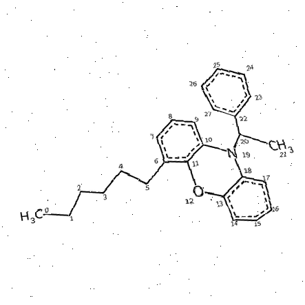 CCCCCCc1cccc2c1Oc1ccccc1N2C(C)c1ccccc1